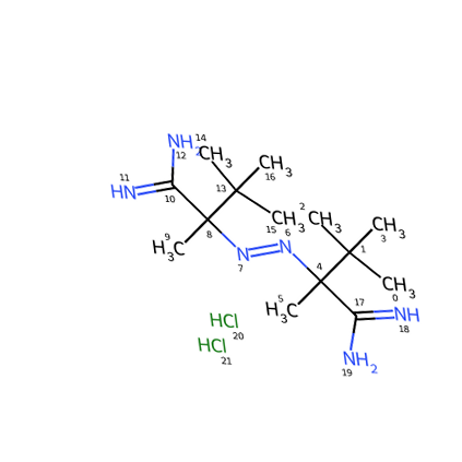 CC(C)(C)C(C)(N=NC(C)(C(=N)N)C(C)(C)C)C(=N)N.Cl.Cl